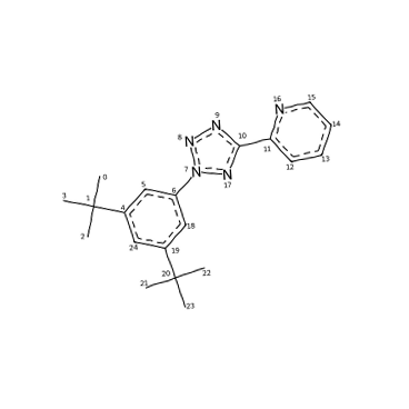 CC(C)(C)c1cc(-n2nnc(-c3ccccn3)n2)cc(C(C)(C)C)c1